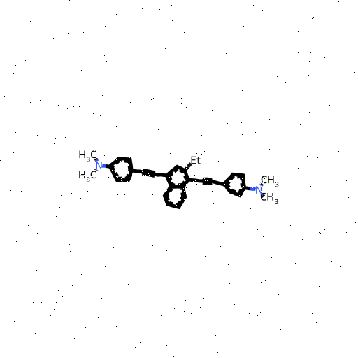 CCc1cc(C#Cc2ccc(N(C)C)cc2)c2ccccc2c1C#Cc1ccc(N(C)C)cc1